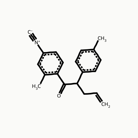 [C-]#[N+]c1ccc(C(=O)C(CC=C)c2ccc(C)cc2)c(C)c1